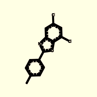 Cc1ccc(-c2nc3cc(Cl)cc(Cl)c3o2)cc1